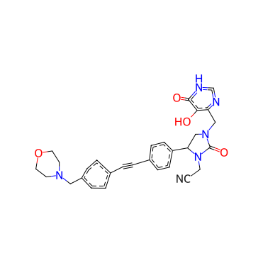 N#CCN1C(=O)N(Cc2nc[nH]c(=O)c2O)CC1c1ccc(C#Cc2ccc(CN3CCOCC3)cc2)cc1